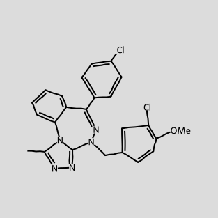 COc1ccc(CN2N=C(c3ccc(Cl)cc3)c3ccccc3-n3c(C)nnc32)cc1Cl